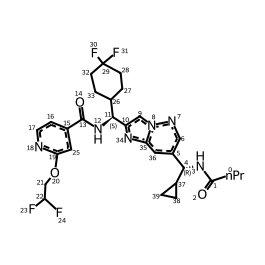 CCCC(=O)N[C@@H](c1cnn2cc([C@@H](NC(=O)c3ccnc(OCC(F)F)c3)C3CCC(F)(F)CC3)nc2c1)C1CC1